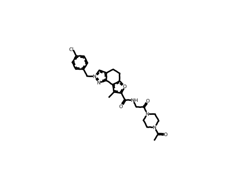 CC(=O)N1CCN(C(=O)CNC(=O)c2oc3c(c2C)-c2nn(Cc4ccc(Cl)cc4)cc2CC3)CC1